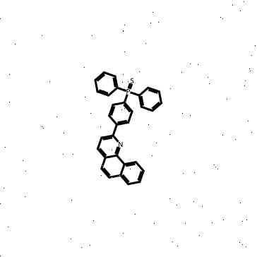 S=P(c1ccccc1)(c1ccccc1)c1ccc(-c2ccc3ccc4ccccc4c3n2)cc1